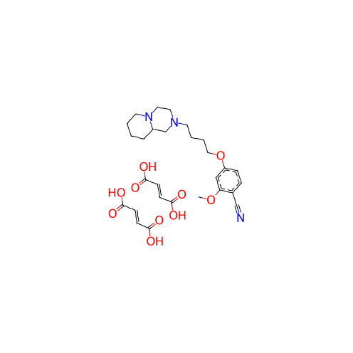 COc1cc(OCCCCN2CCN3CCCCC3C2)ccc1C#N.O=C(O)/C=C/C(=O)O.O=C(O)/C=C/C(=O)O